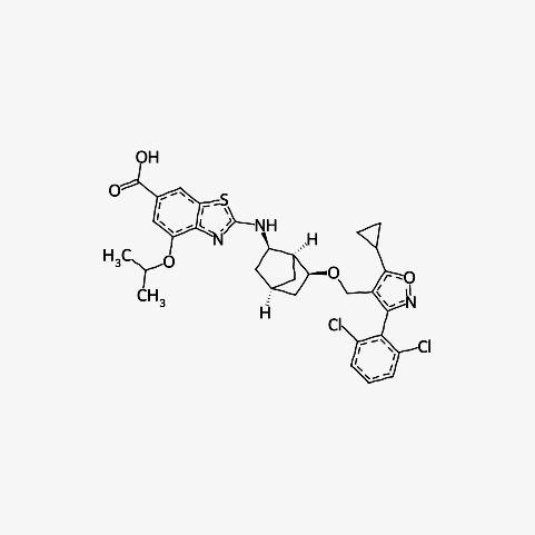 CC(C)Oc1cc(C(=O)O)cc2sc(N[C@@H]3C[C@H]4C[C@@H]3[C@@H](OCc3c(-c5c(Cl)cccc5Cl)noc3C3CC3)C4)nc12